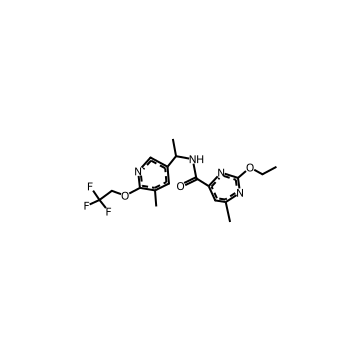 CCOc1nc(C)cc(C(=O)NC(C)c2cnc(OCC(F)(F)F)c(C)c2)n1